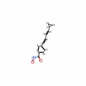 O=NC(=O)c1ccc(C#CC#CC2CC2)cc1